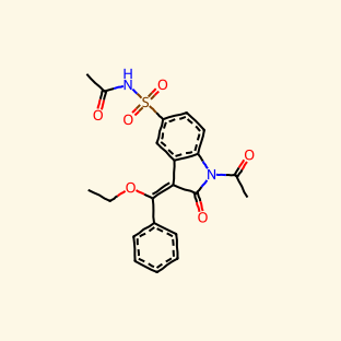 CCOC(=C1C(=O)N(C(C)=O)c2ccc(S(=O)(=O)NC(C)=O)cc21)c1ccccc1